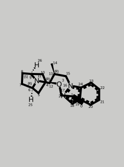 C#CCO[C@H]1C[C@H]2CC[C@@H](C1)N2C[C@@H](C)Cn1ncc2ccccc21